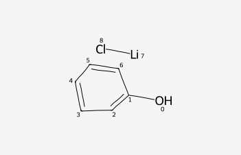 Oc1ccccc1.[Li][Cl]